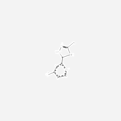 CC1=NNC(c2cc(Cl)ccn2)N1